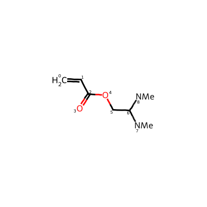 C=CC(=O)OCC(NC)NC